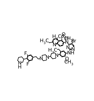 CCc1ccc2c(P(C)(C)=O)c(Nc3nc(Nc4cc(CC)c(N5CCC(N6CCN(CCc7cc(F)c(C8CCCNC8)c(F)c7)CC6)CC5)cc4OC)ncc3Br)ccc2n1